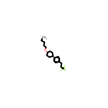 CCCCCO[C@H]1CC[C@H](c2ccc(CCC(F)(F)F)cc2)CC1